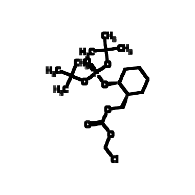 CC(C)(C)OP(=O)(O[C@H]1CCCC[C@H]1COC(=O)OCCl)OC(C)(C)C